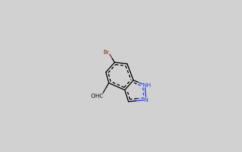 O=Cc1cc(Br)cc2[nH]ncc12